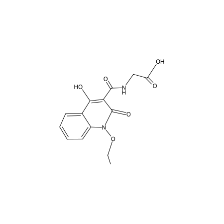 CCOn1c(=O)c(C(=O)NCC(=O)O)c(O)c2ccccc21